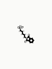 O=C1c2ccccc2C(=O)N1CCCCC[SH](=O)=O